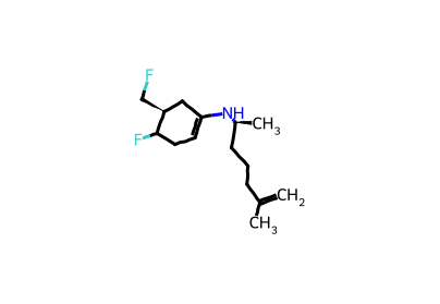 C=C(C)CCC[C@H](C)NC1=CCC(F)[C@@H](CF)C1